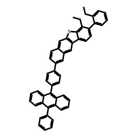 CCc1ccccc1-c1ccc2c(sc3cc4ccc(-c5ccc(-c6c7ccccc7c(-c7ccccc7)c7ccccc67)cc5)cc4cc32)c1CC